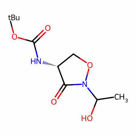 CC(O)N1OC[C@@H](NC(=O)OC(C)(C)C)C1=O